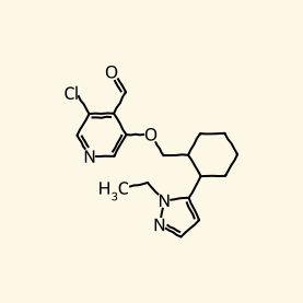 CCn1nccc1C1CCCCC1COc1cncc(Cl)c1C=O